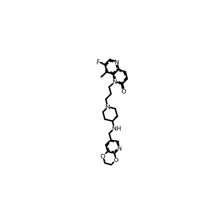 Cc1c(F)cnc2ccc(=O)n(CCCN3CCC(NCc4cnc5c(c4)OCCO5)CC3)c12